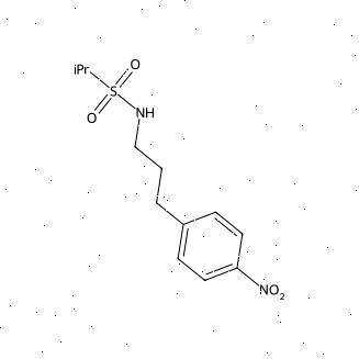 CC(C)S(=O)(=O)NCCCc1ccc([N+](=O)[O-])cc1